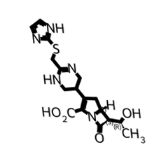 C[C@@H](O)[C@H]1C(=O)N2C(C(=O)O)=C(C3CN=C(CSc4ncc[nH]4)NC3)C[C@H]12